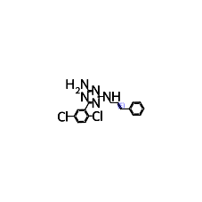 Nc1nc(NC/C=C/c2ccccc2)nc(-c2cc(Cl)ccc2Cl)n1